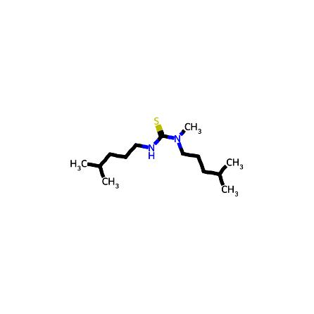 CC(C)CCCNC(=S)N(C)CCCC(C)C